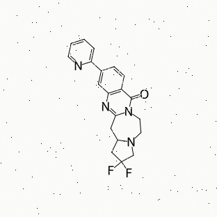 O=c1c2ccc(-c3ccccn3)cc2nc2n1CCN1CC(F)(F)CC1C2